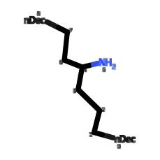 CCCCCCCCCCCCCC(N)CCCCCCCCCCCC